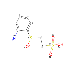 Nc1ccccc1[S+]([O-])CCS(=O)(=O)O